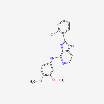 COc1ccc(Nc2nccc3[nH]c(-c4ccccc4Cl)nc23)cc1OC